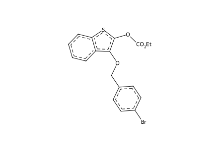 CCOC(=O)Oc1sc2ccccc2c1OCc1ccc(Br)cc1